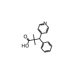 CC(C)(C(=O)O)C(c1ccccc1)c1ccncc1